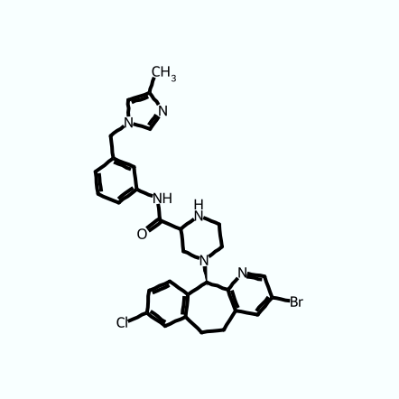 Cc1cn(Cc2cccc(NC(=O)C3CN([C@@H]4c5ccc(Cl)cc5CCc5cc(Br)cnc54)CCN3)c2)cn1